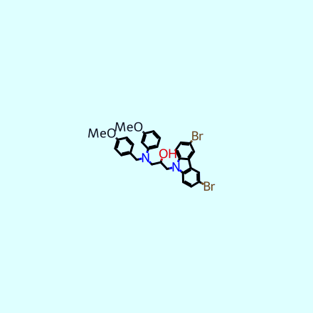 COc1ccc(CN(CC(O)Cn2c3ccc(Br)cc3c3cc(Br)ccc32)c2cccc(OC)c2)cc1